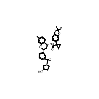 Cc1ccc2c(c1)O[C@@H](c1cccc(C(=O)N3CC[C@@H](O)C3)c1)C[C@H]2NC(=O)C1(c2ccc3c(c2)OC(F)(F)O3)CC1